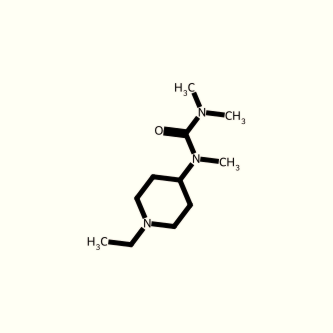 CCN1CCC(N(C)C(=O)N(C)C)CC1